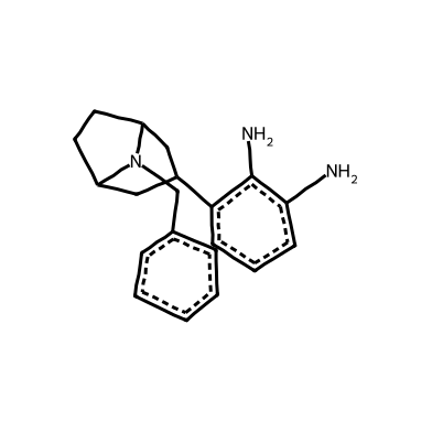 Nc1cccc(C2CC3CCC(C2)N3Cc2ccccc2)c1N